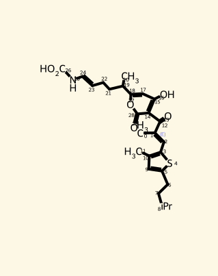 C/C(=C\c1sc(CCC(C)C)cc1C)C(=O)c1c(O)cc(C(C)CCC=CNC(=O)O)oc1=O